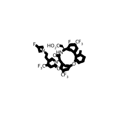 Cc1cccc2c1-c1cc(c(F)c(C(F)(F)F)c1)[C@H](CC(=O)O)NC(=O)[C@@H](n1cc(CCN3CC(F)C3)c(C(F)(F)F)cc1=O)c1cc(cc(C(F)(F)F)c1)O2